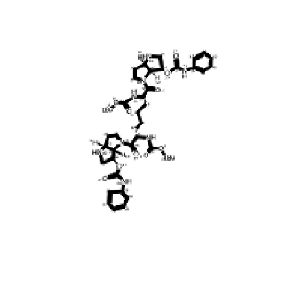 CC(C)(C)OC(=O)N[C@@H](CCCC[C@H](NC(=O)OC(C)(C)C)C(=O)N1CC[C@H]2NC[C@H](OC(=O)Nc3ccccc3)[C@H]21)C(=O)N1CC[C@H]2NC[C@H](OC(=O)Nc3ccccc3)[C@H]21